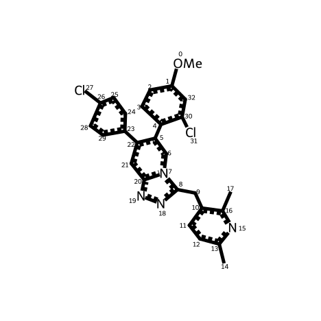 COc1ccc(-c2cn3c(Cc4ccc(C)nc4C)nnc3cc2-c2ccc(Cl)cc2)c(Cl)c1